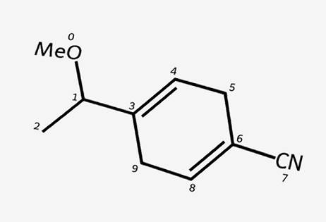 COC(C)C1=CCC(C#N)=CC1